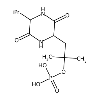 CC(C)C1NC(=O)C(CC(C)(C)OP(=O)(O)O)NC1=O